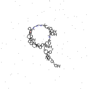 CO[C@H]1C[C@@H]2CCC[C@@](O)(O2)C(=O)C(=O)N2CCCC[C@H]2CC(=O)O[C@H]([C@H](N)C[C@@H]2CC[C@H](n3cc(COCCO)nn3)[C@H](OC)C2)CC(=O)[C@H](C)/C=C(\C)[C@@H](O)[C@@H](O)C(=O)[C@H](C)C[C@H](C)/C=C/C=C/C=C/1C